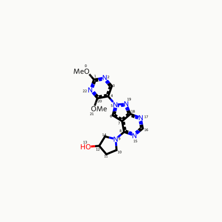 COc1ncc(-n2cc3c(N4CCC(O)C4)ncnc3n2)c(OC)n1